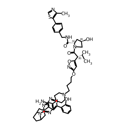 Cc1ncsc1-c1ccc(CNC(=O)[C@@H]2C[C@@H](O)CN2C(=O)[C@@H](c2cc(OCCCCN3CCC(c4cnc(N5C6CCC5CN(c5cc(-c7ccccc7O)nnc5N)C6)nc4)CC3)no2)C(C)C)cc1